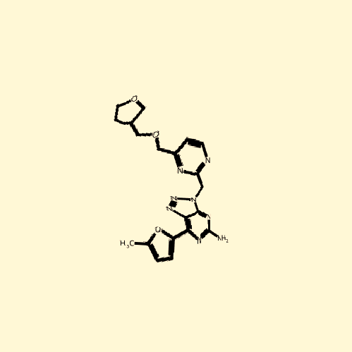 Cc1ccc(-c2nc(N)nc3c2nnn3Cc2nccc(COCC3CCOC3)n2)o1